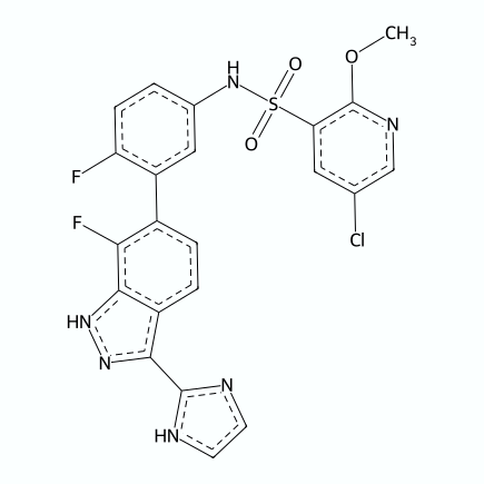 COc1ncc(Cl)cc1S(=O)(=O)Nc1ccc(F)c(-c2ccc3c(-c4ncc[nH]4)n[nH]c3c2F)c1